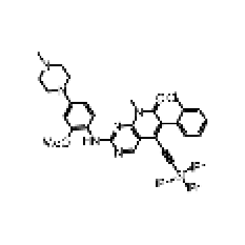 COc1cc(N2CCN(C)CC2)ccc1Nc1ncc2c(C#C[Si](C(C)C)(C(C)C)C(C)C)c(-c3ccccc3Cl)c(=O)n(C)c2n1